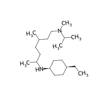 CC[C@H]1CC[C@@H](NC(C)CCC(C)CCN(C)C(C)C)CC1